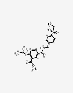 CCS(=O)(=O)c1ccc(CNC(=O)c2ccc(OC(C)C)c(C(=O)OC)c2)cc1